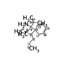 CCCC(C)C1(C(N)(CC)C(C)C)C=CC=[C]C1